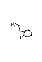 COCc1[c]cccc1F